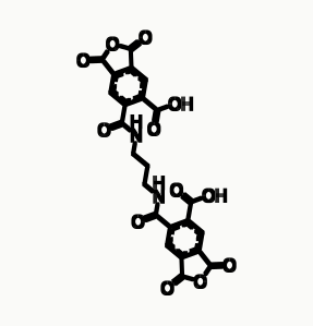 O=C(O)c1cc2c(cc1C(=O)NCCCNC(=O)c1cc3c(cc1C(=O)O)C(=O)OC3=O)C(=O)OC2=O